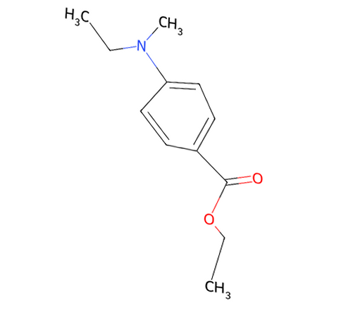 CCOC(=O)c1ccc(N(C)CC)cc1